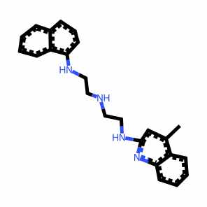 Cc1cc(NCCNCCNc2cccc3ccccc23)nc2ccccc12